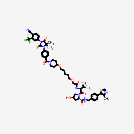 Cc1ncsc1-c1ccc(CNC(=O)[C@@H]2C[C@@H](O)CN2C(=O)[C@@H](NC(=O)COCCCCCOC2CCN(C(=O)c3ccc(N4C(=S)N(c5ccc(C#N)c(C(F)(F)F)c5)C(=O)C4(C)C)cc3)CC2)C(C)C)cc1